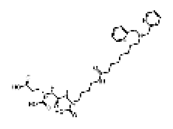 O=C(O)CC[C@H](NC(=O)N[C@@H](CCCCNC(=O)CCCCCCCN(Cc1ccccn1)Cc1ccccn1)C(=O)O)C(=O)O